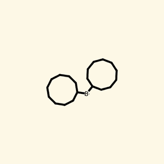 [B](C1CCCCCCCCC1)C1CCCCCCCCC1